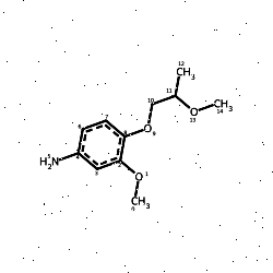 COc1cc(N)ccc1OCC(C)OC